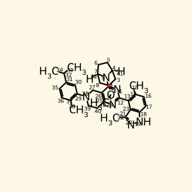 CO[C@H]1C[C@H]2CC[C@@H](C1)N2c1nc(-c2c(C)ccc3[nH]nc(C)c23)nc2c1CN(c1cc(C(C)C)ccc1C)CC2